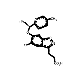 CCC[C@H](Oc1cc2onc(CCC(=O)O)c2cc1Cl)c1ccc(C)cn1